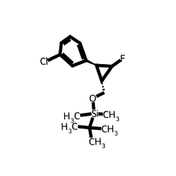 CC(C)(C)[Si](C)(C)OC[C@H]1C(F)[C@@H]1c1cccc(Cl)c1